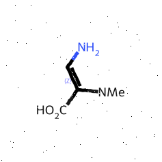 CN/C(=C\N)C(=O)O